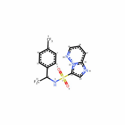 O=S(=O)(NC(c1ccc(C(F)(F)F)cc1)C(F)(F)F)c1cnc2cccnn12